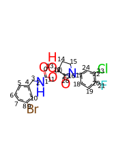 O=C(NCc1cccc(Br)c1)O[C@@]1(O)CCN(c2ccc(F)c(Cl)c2)C1=O